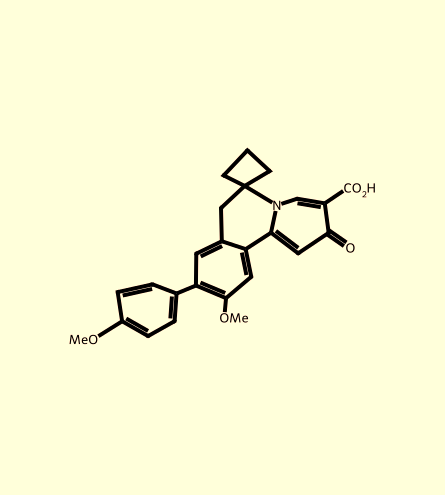 COc1ccc(-c2cc3c(cc2OC)-c2cc(=O)c(C(=O)O)cn2C2(CCC2)C3)cc1